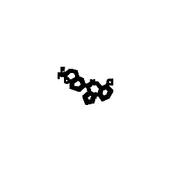 FC1(F)CCc2cc(C3=NCc4c(Cl)cccc4-n4cccc43)ccc2O1